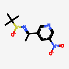 C/C(=N\[S+]([O-])C(C)(C)C)c1cncc([N+](=O)[O-])c1